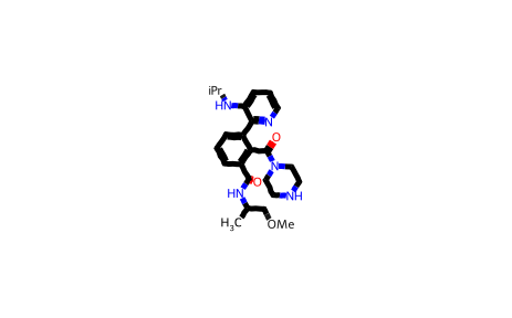 COCC(C)NC(=O)c1cccc(-c2ncccc2NC(C)C)c1C(=O)N1CCNCC1